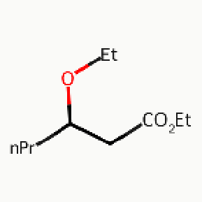 CCCC(CC(=O)OCC)OCC